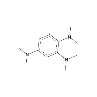 CN(C)c1c[c]c(N(C)C)c(N(C)C)c1